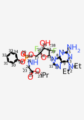 CCN(CC)c1nc(N)nc2c1ncn2[C@@H]1O[C@](F)(CO[P@@](=O)(N[C@@H](C)C(=O)OC(C)C)Oc2ccccc2)[C@@H](O)[C@@]1(C)F